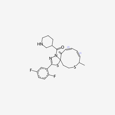 C=C1/C=C\C=C/C(C)SCCC12SC(c1cc(F)ccc1F)=NN2C(=O)C1CCCNC1